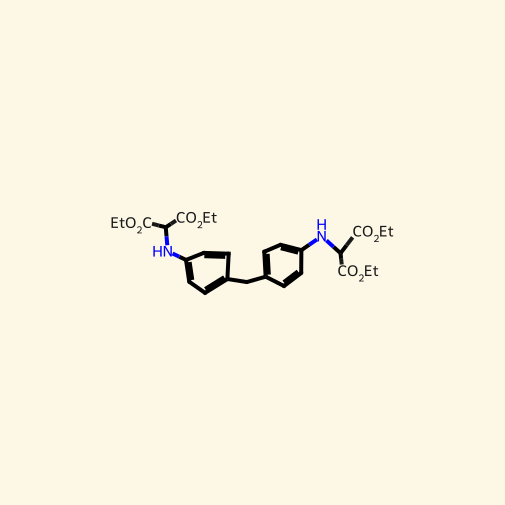 CCOC(=O)C(Nc1ccc(Cc2ccc(NC(C(=O)OCC)C(=O)OCC)cc2)cc1)C(=O)OCC